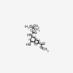 COC(=O)c1cc2cc(NC(=O)OC(C)(C)C)cc(O)c2o1